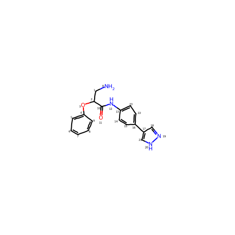 NCC(Oc1ccccc1)C(=O)Nc1ccc(-c2cn[nH]c2)cc1